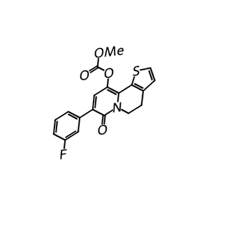 COC(=O)Oc1cc(-c2cccc(F)c2)c(=O)n2c1-c1sccc1CC2